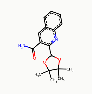 CC1(C)OB(c2nc3ccccc3cc2C(N)=O)OC1(C)C